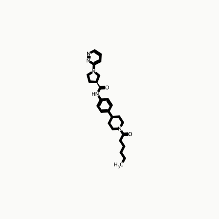 CCCCCC(=O)N1CCC(c2ccc(NC(=O)[C@H]3CCN(c4cccnn4)C3)cc2)CC1